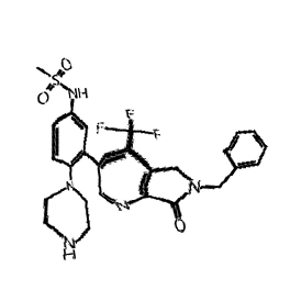 CS(=O)(=O)Nc1ccc(N2CCNCC2)c(-c2cnc3c(c2C(F)(F)F)CN(Cc2ccccc2)C3=O)c1